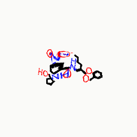 CCCCC(CNC(=O)c1cc([N+](=O)[O-])ccc1NC1(CO)CCCC1)C1OCc2ccccc2O1